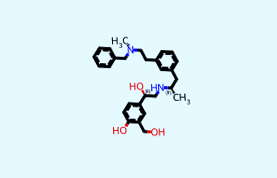 C[C@H](Cc1cccc(CCN(C)Cc2ccccc2)c1)NC[C@H](O)c1ccc(O)c(CO)c1